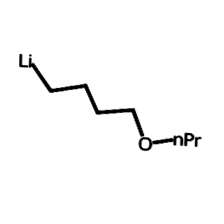 [Li][CH2]CCCOCCC